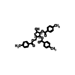 Cc1ccc(C(=O)OC[C@H]2SC(O)[C@@H](OC(=O)c3ccc(C)cc3)[C@H]2OC(=O)c2ccc(C)cc2)cc1